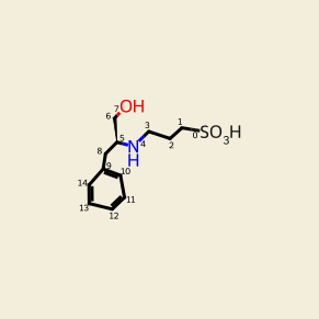 O=S(=O)(O)CCCN[C@H](CO)Cc1ccccc1